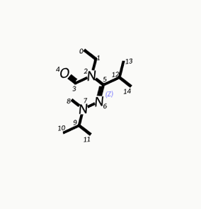 CCN(C=O)/C(=N\N(C)C(C)C)C(C)C